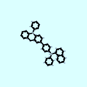 c1ccc(N2c3ccccc3Cc3cc(-c4ccc(N(c5ccccc5)c5cccc6ccccc56)cc4)ccc32)cc1